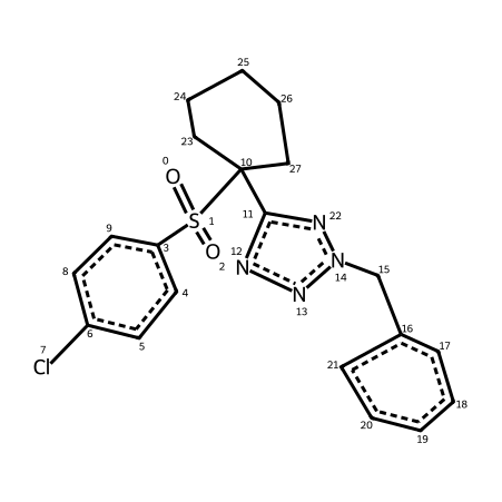 O=S(=O)(c1ccc(Cl)cc1)C1(c2nnn(Cc3ccccc3)n2)CCCCC1